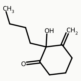 C=C1CCCC(=O)C1(O)CCCC